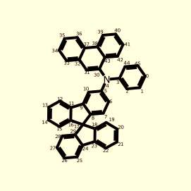 c1ccc(N(c2ccc3c(c2)-c2ccccc2C32c3ccccc3-c3ccccc32)c2cc3ccccc3c3ccccc23)cc1